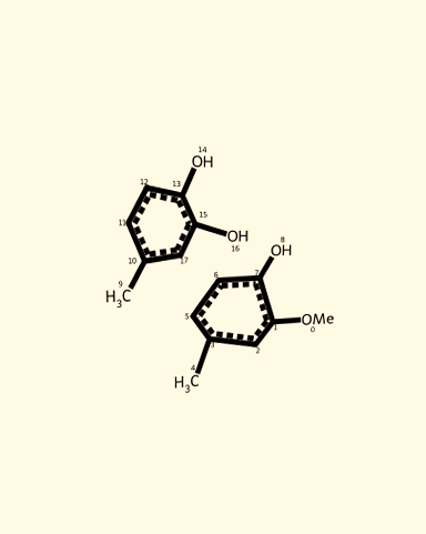 COc1cc(C)ccc1O.Cc1ccc(O)c(O)c1